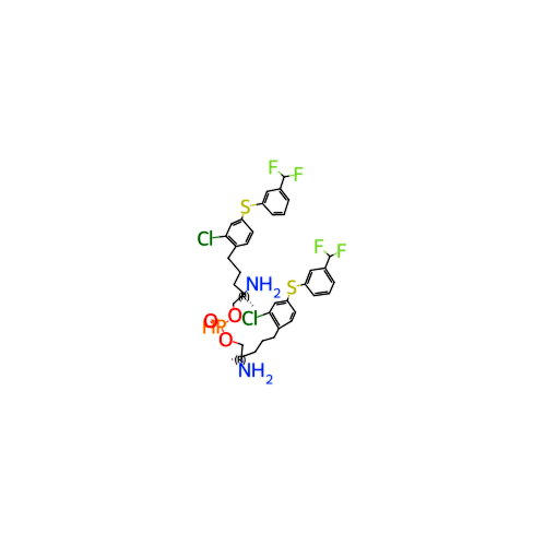 C[C@@](N)(CCCc1ccc(Sc2cccc(C(F)F)c2)cc1Cl)CO[PH](=O)OC[C@](C)(N)CCCc1ccc(Sc2cccc(C(F)F)c2)cc1Cl